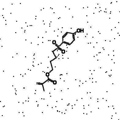 C=C(C)C(=O)OCCCCS(=O)(=O)c1ccc(O)cc1